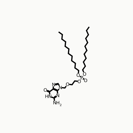 CCCCCCCCCCCCOP(=O)(OCCCCCCCCCCCC)OCCOCn1cnc2c(=O)[nH]c(N)nc21